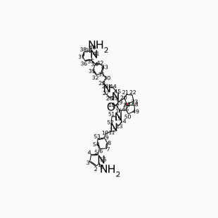 Nc1cccc(-c2ccc(CCN3CCN(C(C(=O)C(C4CCCC4)N4CCN(CCc5ccc(-c6cccc(N)n6)cc5)CC4)C4CCCC4)CC3)cc2)n1